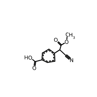 COC(=O)C(C#N)c1ccc(C(=O)O)cc1